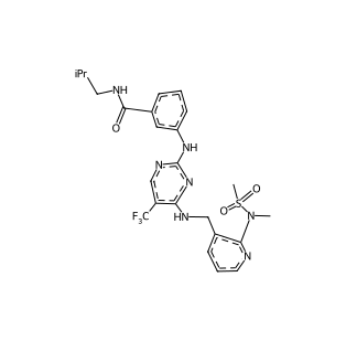 CC(C)CNC(=O)c1cccc(Nc2ncc(C(F)(F)F)c(NCc3cccnc3N(C)S(C)(=O)=O)n2)c1